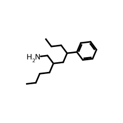 CCCCC(CN)CC(CCC)c1ccccc1